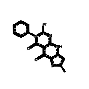 Cc1cc2[nH]c3nc(C(C)C)n(-c4ccccc4)c(=O)c3c(=O)c2s1